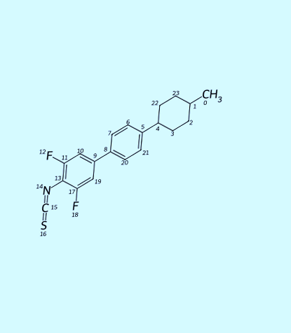 CC1CCC(c2ccc(-c3cc(F)c(N=C=S)c(F)c3)cc2)CC1